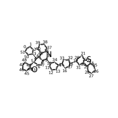 c1ccc(-c2c3c(cc4c(-c5cccc(-c6ccc(-c7ccc8sc9ccccc9c8c7)cc6)c5)nc5ccccc5c24)oc2ccccc23)cc1